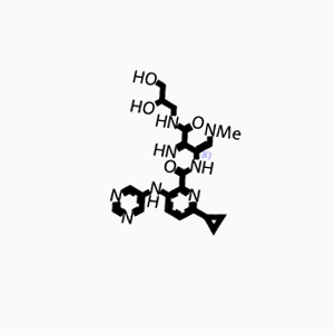 CN/C=C(/NC(=O)c1nc(C2CC2)ccc1Nc1cncnc1)C(=N)C(=O)NCC(O)CO